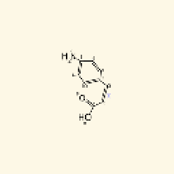 Nc1ccc(/C=C\C(=O)O)cc1